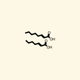 CCCC/C=C/C(=O)O.CCCCC/C=C/C(=O)O